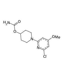 COc1cc(Cl)nc(N2CCC(OC(N)=O)CC2)c1